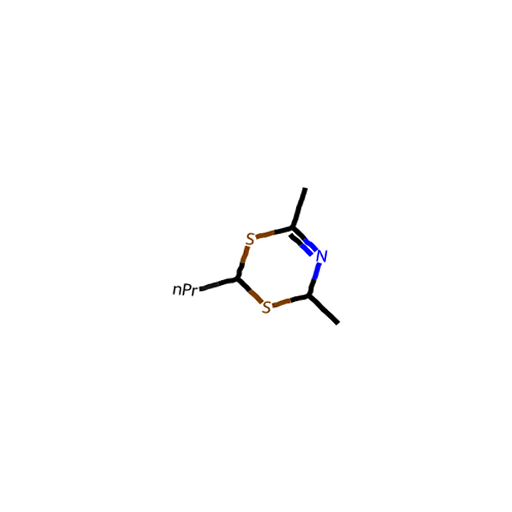 CCCC1SC(C)=NC(C)S1